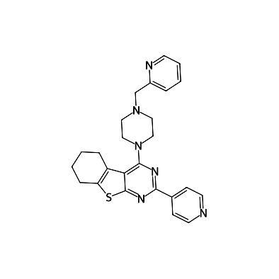 c1ccc(CN2CCN(c3nc(-c4ccncc4)nc4sc5c(c34)CCCC5)CC2)nc1